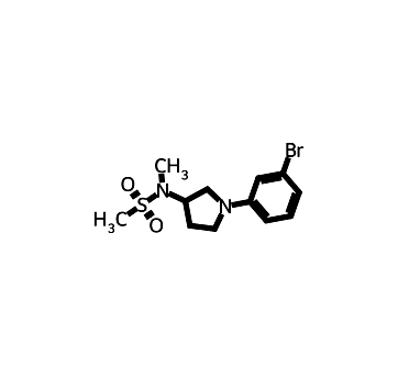 CN(C1CCN(c2cccc(Br)c2)C1)S(C)(=O)=O